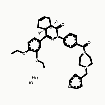 CCOc1ccc(C2=NN(c3ccc(C(=O)N4CCN(Cc5ccncc5)CC4)cc3)C(=O)[C@@H]3CC=CC[C@H]23)cc1OCC.Cl.Cl